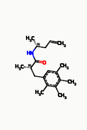 C=CC[C@@H](C)NC(=O)[C@@H](C)Cc1cc(C)c(C)c(C)c1C